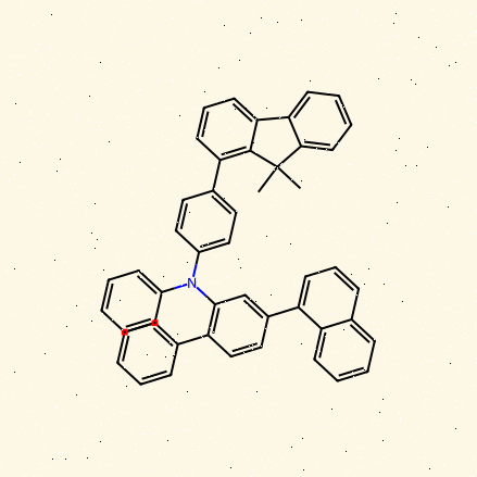 CC1(C)c2ccccc2-c2cccc(-c3ccc(N(c4ccccc4)c4cc(-c5cccc6ccccc56)ccc4-c4ccccc4)cc3)c21